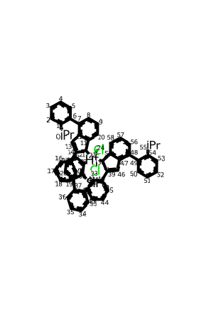 CC(C)c1ccccc1-c1cccc2c1C=C(c1ccccc1)[CH]2[Hf]([Cl])([Cl])([c]1cccc2c1[SiH2]c1ccccc1-2)[CH]1C(c2ccccc2)=Cc2c(-c3ccccc3C(C)C)cccc21